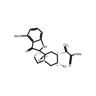 C=C(C(=O)OC)[C@H]1C[C@@H]2N(CC[C@]23Nc2cccc(OC)c2C3=O)C[C@H]1CC